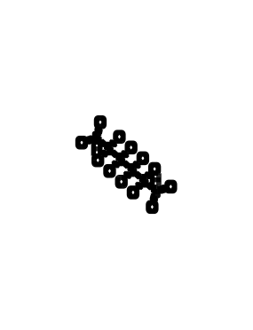 O=[SH](=O)S(=O)(=O)S(=O)(=O)S(=O)(=O)S(=O)(=O)[SH](=O)=O